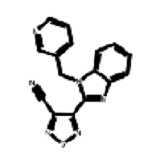 N#Cc1nsnc1-c1nc2ccccc2n1Cc1cccnc1